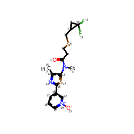 CCN(C(=O)CCSCC1CC1(F)F)c1sc(-c2ccc[n+]([O-])c2)nc1C